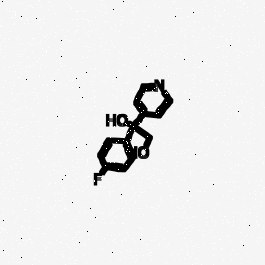 OCC(O)(c1ccncc1)c1ccc(F)cc1